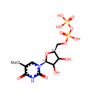 COc1cn([C@H]2O[C@@H](COP(=O)(O)OP(=O)(O)O)C(O)C2O)c(=O)[nH]c1=O